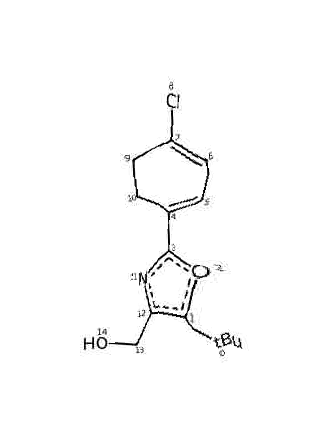 CC(C)(C)c1oc(C2=CC=C(Cl)CC2)nc1CO